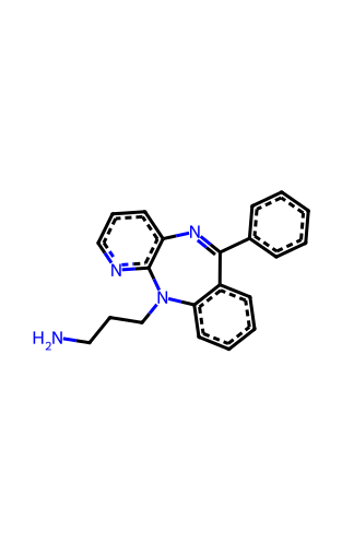 NCCCN1c2ccccc2C(c2ccccc2)=Nc2cccnc21